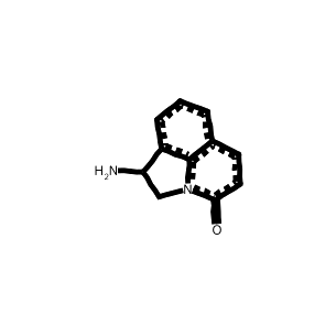 NC1Cn2c(=O)ccc3cccc1c32